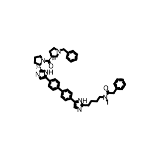 O=C(Cc1ccccc1)N(I)CCCCc1ncc(-c2ccc(-c3ccc(-c4cnc([C@@H]5CCCN5C(=O)[C@H]5CCN(Cc6ccccc6)C5)[nH]4)cc3)cc2)[nH]1